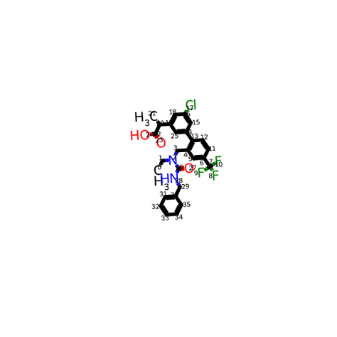 CCN(Cc1cc(C(F)(F)F)ccc1-c1cc(Cl)cc(C(C)C(=O)O)c1)C(=O)NCc1ccccc1